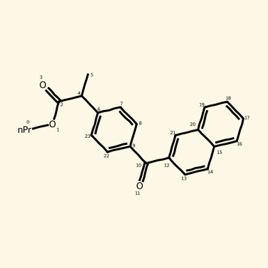 CCCOC(=O)C(C)c1ccc(C(=O)c2ccc3ccccc3c2)cc1